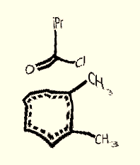 CC(C)C(=O)Cl.Cc1ccccc1C